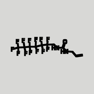 C=CCNC(=O)NCC(F)(F)C(F)(F)C(F)(F)C(F)(F)C(F)(F)C(F)(F)F